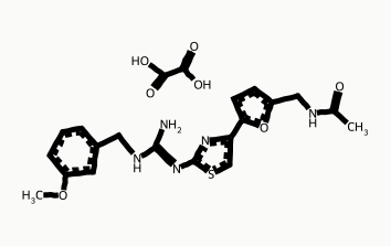 COc1cccc(CN/C(N)=N/c2nc(-c3ccc(CNC(C)=O)o3)cs2)c1.O=C(O)C(=O)O